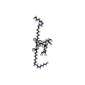 CCCCC/C=C\C/C=C\CCCCCCCC(=O)OCC(COC(=O)CCCCCCC/C=C\C/C=C\CCCCC)OC(=O)CCC(CC(CC)CC)OC(=O)OCCN(C)CC